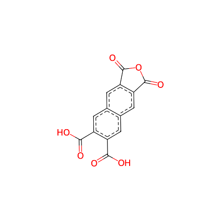 O=C(O)c1cc2cc3c(cc2cc1C(=O)O)C(=O)OC3=O